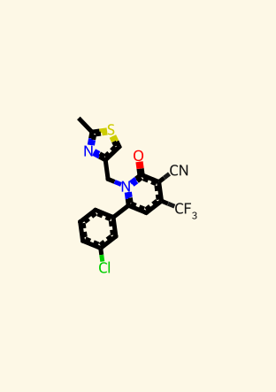 Cc1nc(Cn2c(-c3cccc(Cl)c3)cc(C(F)(F)F)c(C#N)c2=O)cs1